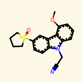 COc1cccc2c1c1cc([SH]3(=O)CCCC3)ccc1n2CC#N